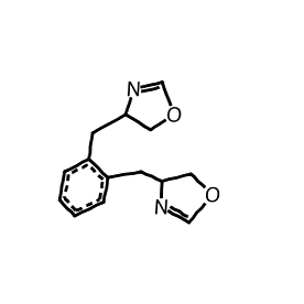 C1=NC(Cc2ccccc2CC2COC=N2)CO1